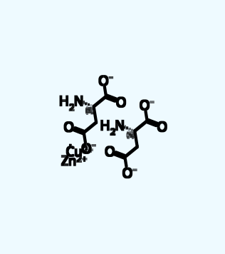 N[C@@H](CC(=O)[O-])C(=O)[O-].N[C@@H](CC(=O)[O-])C(=O)[O-].[Cu+2].[Zn+2]